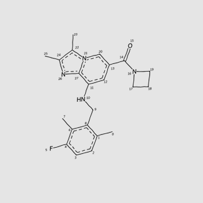 Cc1ccc(F)c(C)c1CNc1cc(C(=O)N2CCC2)cn2c(C)c(C)nc12